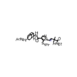 CCNC(=O)C(C)(C)/C=C/n1ncc(C(=O)N[C@H]2C3CC4CC2C[C@](NC(C)=O)(C4)C3)c1SC(C)C